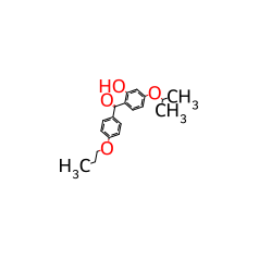 CCCOc1ccc(C(=O)c2ccc(OC(C)C)cc2O)cc1